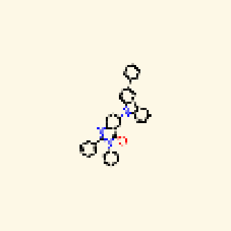 O=c1c2cc(-n3c4ccccc4c4cc(-c5ccccc5)ccc43)ccc2nc(-c2ccccc2)n1-c1ccccc1